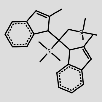 CC1=Cc2ccccc2C1C(C[Si](C)(C)C)(C1C(C)=Cc2ccccc21)[Si](C)(C)C